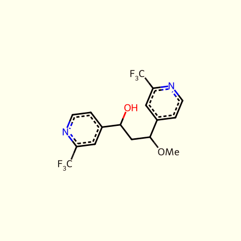 COC(CC(O)c1ccnc(C(F)(F)F)c1)c1ccnc(C(F)(F)F)c1